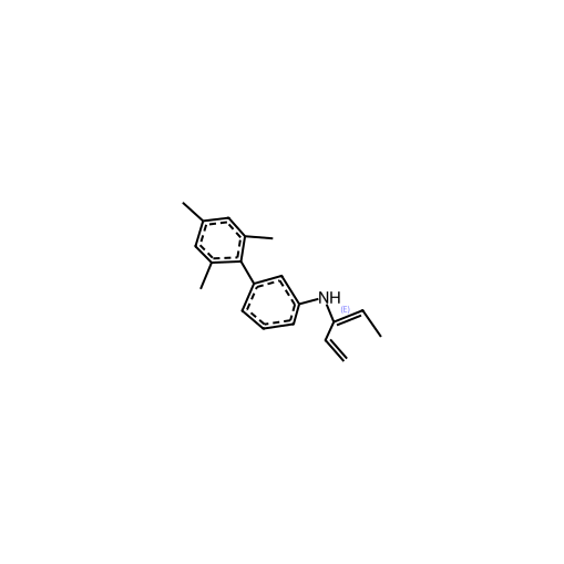 C=C/C(=C\C)Nc1cccc(-c2c(C)cc(C)cc2C)c1